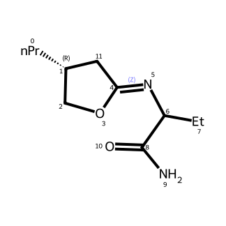 CCC[C@H]1CO/C(=N\C(CC)C(N)=O)C1